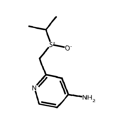 CC(C)[S+]([O-])Cc1cc(N)ccn1